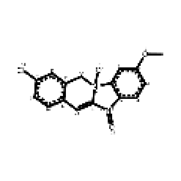 COc1ccc2c(c1)[N+]1([O-])Cc3cc(Cl)ccc3C=C1[N+]2=O